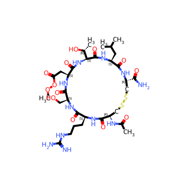 COOC(=O)C[C@@H]1NC(=O)[C@H](CO)NC(=O)[C@H](CCCNC(=N)N)NC(=O)[C@@H](NC(C)=O)CSSC[C@@H](C(N)=O)NC(=O)[C@H](CC(C)C)NC(=O)[C@H]([C@@H](C)O)NC1=O